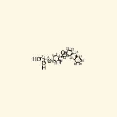 OCC(O)COc1ccc(-c2cc3cc(Cc4ccccc4)ccc3o2)c(F)c1